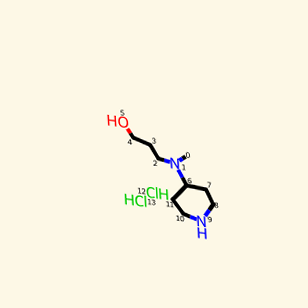 CN(CCCO)C1CCNCC1.Cl.Cl